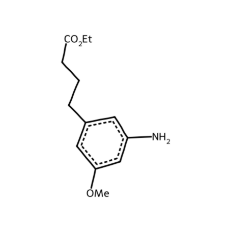 CCOC(=O)CCCc1cc(N)cc(OC)c1